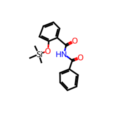 C[Si](C)(C)Oc1ccccc1C(=O)NC(=O)c1ccccc1